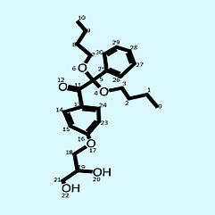 CCCCOC(OCCCC)(C(=O)c1ccc(OCC(O)CO)cc1)c1ccccc1